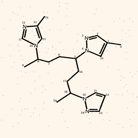 Cc1cnn(C(CCC(C)n2cnc(C)c2)CCC(C)n2cccn2)c1